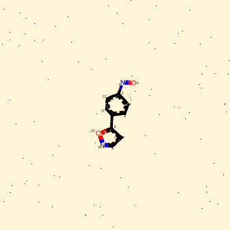 O=Nc1ccc(-c2ccno2)cc1